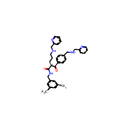 O=C(NCc1cc(C(F)(F)F)cc(C(F)(F)F)c1)[C@@H](CCCNCc1ccccn1)C(=O)c1ccc(CNCc2ccccn2)cc1